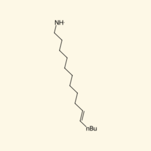 CCCCC=CCCCCCCCCC[NH]